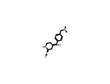 CN(C)Cc1ccc(C=C2CCNC(=C=S)C2)cc1.Cl